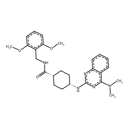 COc1cccc(OC)c1CNC(=O)[C@H]1CC[C@@H](Nc2nc(N(C)C)c3ccccc3n2)CC1